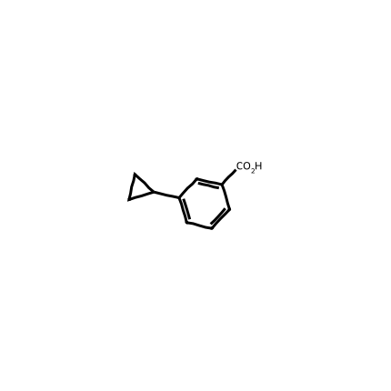 O=C(O)c1cccc(C2CC2)c1